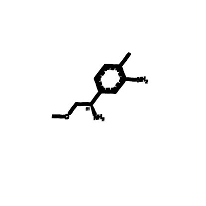 COC[C@H](N)c1ccc(C)c(N)c1